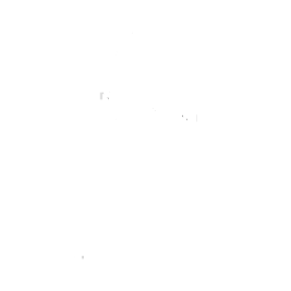 C=C(OC)C(CC(=O)NC(C)CC)NCCCCCCO